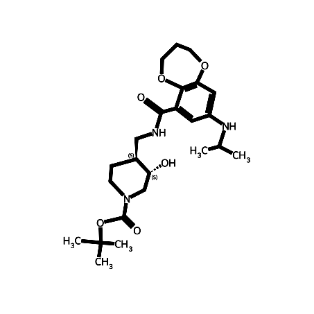 CC(C)Nc1cc2c(c(C(=O)NC[C@@H]3CCN(C(=O)OC(C)(C)C)C[C@H]3O)c1)OCCCO2